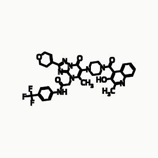 Cc1nc2ccccc2c(C(=O)N2CCN(c3c(C)n(CC(=O)Nc4ccc(C(F)(F)F)cc4)c4nc(C5=CCOCC5)nn4c3=O)CC2)c1O